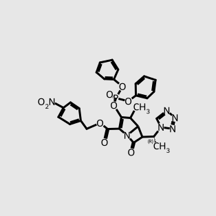 CC1C(OP(=O)(Oc2ccccc2)Oc2ccccc2)=C(C(=O)OCc2ccc([N+](=O)[O-])cc2)N2C(=O)C([C@@H](C)n3cnnn3)C12